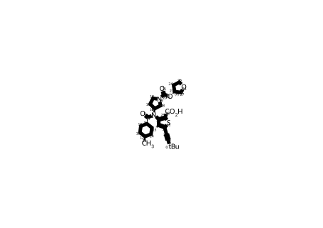 CC(C)(C)C#Cc1cc(N(C(=O)[C@H]2CC[C@H](C)CC2)[C@H]2CCN(C(=O)O[C@@H]3CCOC3)C2)c(C(=O)O)s1